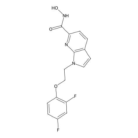 O=C(NO)c1ccc2ccn(CCOc3ccc(F)cc3F)c2n1